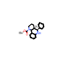 CC(C)(C)OC(=O)N1CCC[C@@H]2C1c1ccccc1N[C@@H]2c1ccccc1